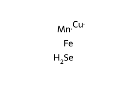 [Cu].[Fe].[Mn].[SeH2]